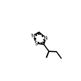 CCC(C)c1ncns1